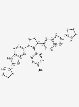 CC(C)(C)c1ccc(N2C(c3ccc4c(c3)NC([C@@H]3CCCN3)N4)CCC2c2ccc3[nH]c([C@@H]4CCCN4)nc3c2)cc1